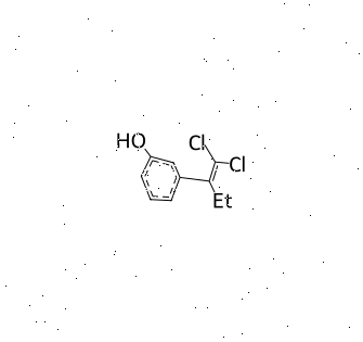 CCC(=C(Cl)Cl)c1cccc(O)c1